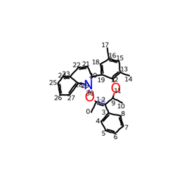 C/C1=C(\c2ccccc2)C(C)Oc2c(C)cc(C)cc2C2C=Cc3ccccc3N2O1